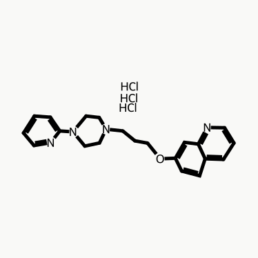 Cl.Cl.Cl.c1ccc(N2CCN(CCCOc3ccc4cccnc4c3)CC2)nc1